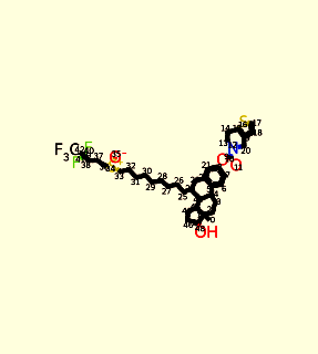 CC12CCC3c4ccc(OC(=O)N5CCc6sccc6C5)cc4CC(CCCCCCCCC[S+]([O-])CCCC(F)(F)C(F)(F)F)C3C1CCC2O